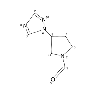 O=CN1CCC(n2cncn2)C1